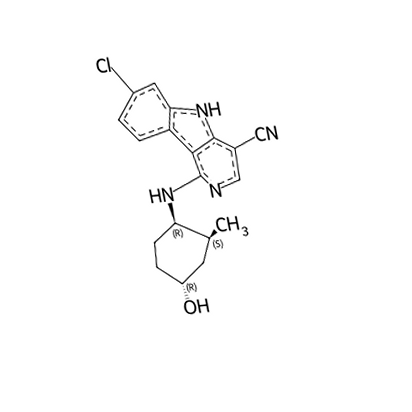 C[C@H]1C[C@H](O)CC[C@H]1Nc1ncc(C#N)c2[nH]c3cc(Cl)ccc3c12